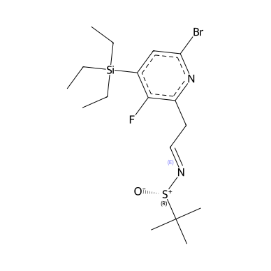 CC[Si](CC)(CC)c1cc(Br)nc(C/C=N/[S@@+]([O-])C(C)(C)C)c1F